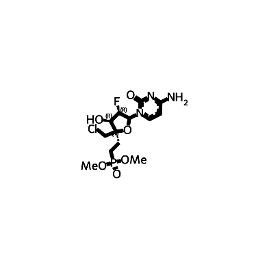 COP(=O)(CC[C@@]1(CCl)OC(n2ccc(N)nc2=O)[C@H](F)[C@@H]1O)OC